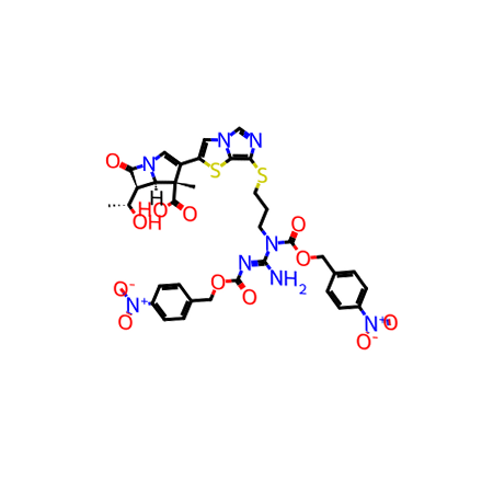 C[C@@H](O)[C@H]1C(=O)N2C=C(c3cn4cnc(SCCCN(C(=O)OCc5ccc([N+](=O)[O-])cc5)C(N)=NC(=O)OCc5ccc([N+](=O)[O-])cc5)c4s3)[C@](C)(C(=O)O)[C@@H]12